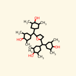 CC1CC(C(C2CC(C)C(O)C(C)C2)C2CCC(C(C3CC(C)C(O)C(C)C3)C3CC(C)C(O)C(C)C3)O2)CC(C)C1O